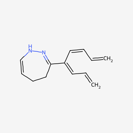 C=C/C=C\C(=C/C=C)C1=NNC=CCC1